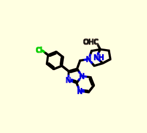 O=CC12CCC(CN(Cc3c(-c4ccc(Cl)cc4)nc4ncccn34)C1)N2